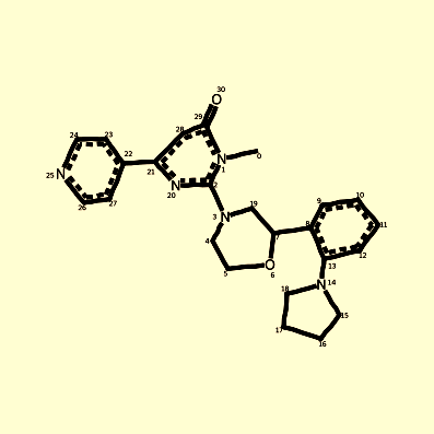 Cn1c(N2CCOC(c3ccccc3N3CCCC3)C2)nc(-c2ccncc2)cc1=O